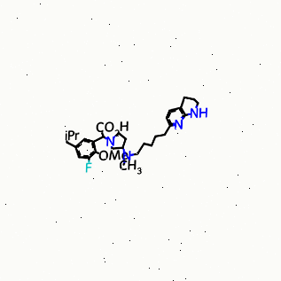 COc1c(F)cc(CC(C)C)cc1C(C(=O)O)N1CC[C@@H](N(C)CCCCCc2ccc3c(n2)NCCC3)C1